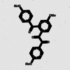 COc1ccc(C(=O)C(=O)c2ccc(OC)cc2C(=O)c2ccc(OC)cc2)cc1